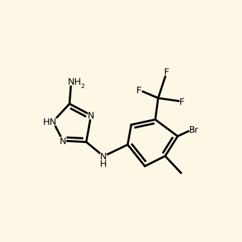 Cc1cc(Nc2n[nH]c(N)n2)cc(C(F)(F)F)c1Br